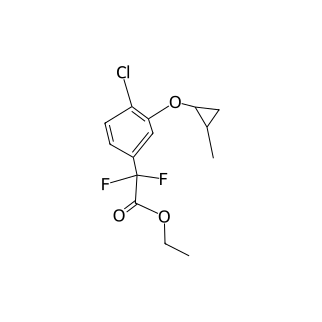 CCOC(=O)C(F)(F)c1ccc(Cl)c(OC2CC2C)c1